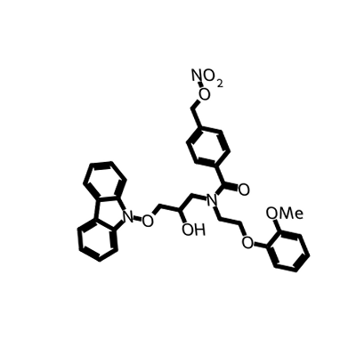 COc1ccccc1OCCN(CC(O)COn1c2ccccc2c2ccccc21)C(=O)c1ccc(CO[N+](=O)[O-])cc1